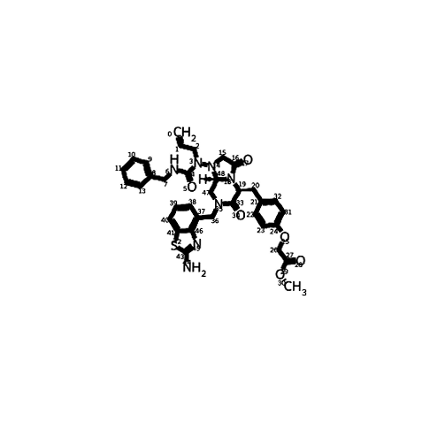 C=CCN(C(=O)NCc1ccccc1)N1CC(=O)N2[C@@H](Cc3ccc(OCC(=O)OC)cc3)C(=O)N(Cc3cccc4sc(N)nc34)C[C@@H]21